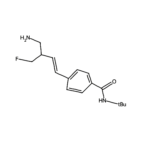 CC(C)(C)NC(=O)c1ccc(C=CC(CN)CF)cc1